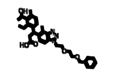 CCc1c(C(CC(=O)O)c2ccc3c(nnn3CCOCCOCc3ccccc3)c2C)ccc(C)c1C(C)O